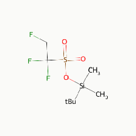 CC(C)(C)[Si](C)(C)OS(=O)(=O)C(F)(F)CF